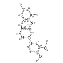 COc1ccc(-c2c/c(=N/c3c(C)cc(C)cc3C)n(C)cn2)cc1OC